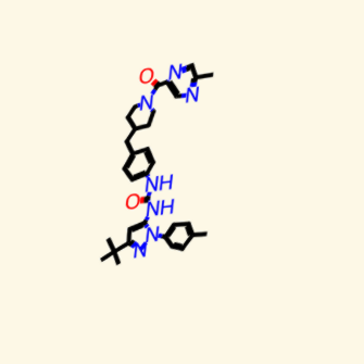 Cc1ccc(-n2nc(C(C)(C)C)cc2NC(=O)Nc2ccc(CC3CCN(C(=O)c4cnc(C)cn4)CC3)cc2)cc1